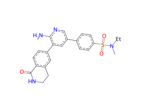 CCN(C)S(=O)(=O)c1ccc(-c2cnc(N)c(-c3ccc4c(c3)CCNC4=O)c2)cc1